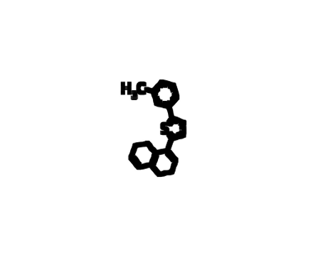 Cc1cccc(-c2ccc(C3=CCCC4=C3CCC=C4)s2)c1